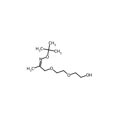 CC(COCCOCCO)=NOC(C)(C)C